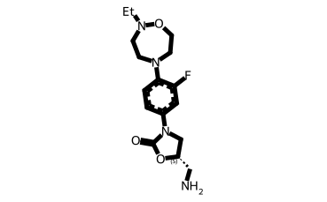 CCN1CCN(c2ccc(N3C[C@H](CN)OC3=O)cc2F)CCO1